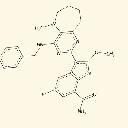 COc1nc2c(C(N)=O)cc(F)cc2n1-c1nc2c(c(NCc3ccccc3)n1)N(C)CCCC2